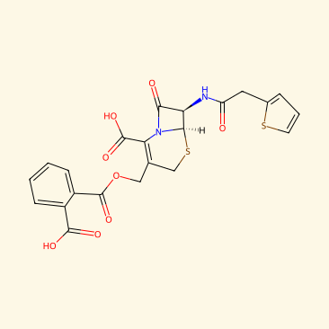 O=C(Cc1cccs1)N[C@@H]1C(=O)N2C(C(=O)O)=C(COC(=O)c3ccccc3C(=O)O)CS[C@H]12